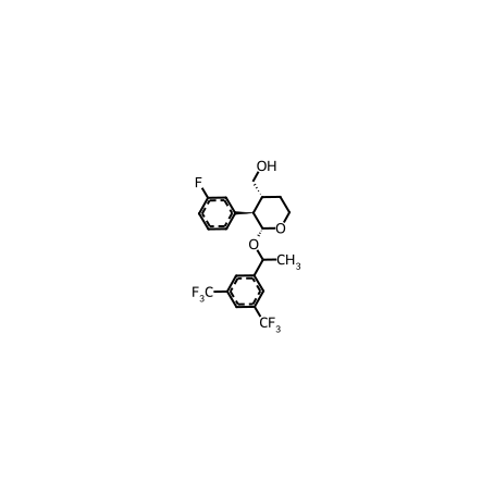 CC(O[C@H]1OCC[C@@H](CO)[C@@H]1c1cccc(F)c1)c1cc(C(F)(F)F)cc(C(F)(F)F)c1